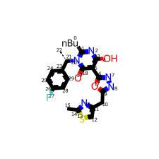 CCCCc1nc(O)c(-c2nnc(Cc3csc(C)n3)o2)c(=O)n1[C@@H](C)c1ccc(F)cc1